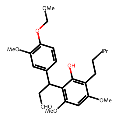 COCOc1ccc(C(CC=O)c2c(OC)cc(OC)c(CCC(C)C)c2O)cc1OC